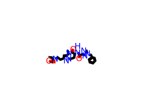 CN1C(=O)[C@H](NC(=O)c2ncn(Cc3ccccc3)n2)CCn2nc(CCN3CC4CC3CO4)cc21